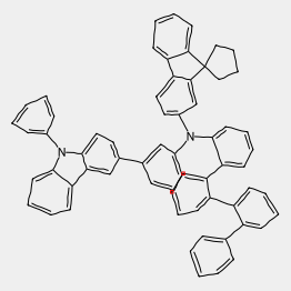 c1ccc(-c2ccccc2-c2ccccc2-c2ccccc2N(c2cccc(-c3ccc4c(c3)c3ccccc3n4-c3ccccc3)c2)c2ccc3c(c2)C2(CCCC2)c2ccccc2-3)cc1